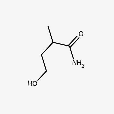 CC(CCO)C(N)=O